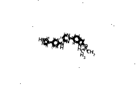 CP(C)Oc1cc2ccc(-c3nccc(Nc4ccc(-c5cn[nH]c5)cc4)n3)cc2[nH]1